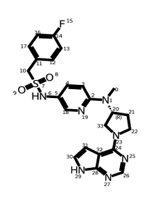 CN(c1ccc(NS(=O)(=O)Cc2ccc(F)cc2)cn1)[C@@H]1CCN(c2ncnc3[nH]ccc23)C1